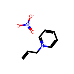 C=CC[n+]1ccccc1.O=[N+]([O-])[O-]